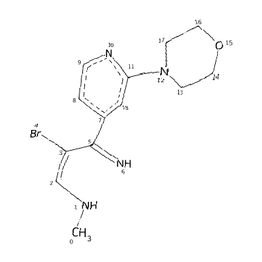 CN/C=C(/Br)C(=N)c1ccnc(N2CCOCC2)c1